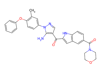 Cc1cc(-n2ncc(C(=O)c3cc4cc(C(=O)N5CCOCC5)ccc4[nH]3)c2N)ccc1Oc1ccccc1